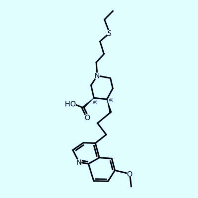 CCSCCCN1CC[C@@H](CCCc2ccnc3ccc(OC)cc23)[C@@H](C(=O)O)C1